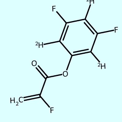 [2H]c1c(F)c([2H])c(OC(=O)C(=C)F)c([2H])c1F